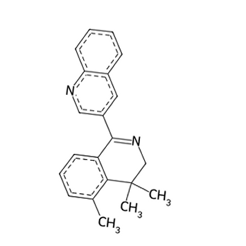 Cc1cccc2c1C(C)(C)CN=C2c1cnc2ccccc2c1